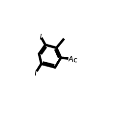 CC(=O)c1cc(I)cc(I)c1C